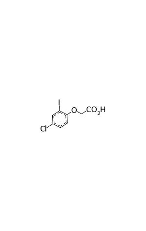 O=C(O)COc1ccc(Cl)cc1I